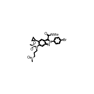 CNC(=O)c1c2cc(C3CC3)c(N(CCC[S+](C)[O-])S(C)(=O)=O)cc2nn1-c1ccc(Br)cc1